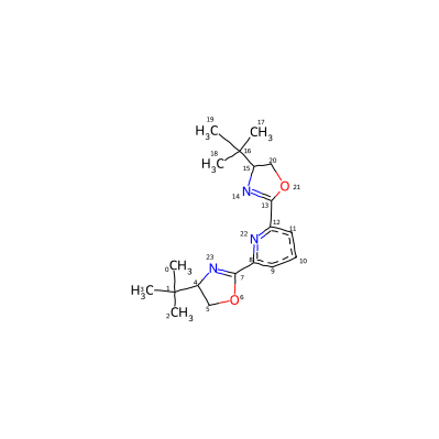 CC(C)(C)C1COC(c2cccc(C3=NC(C(C)(C)C)CO3)n2)=N1